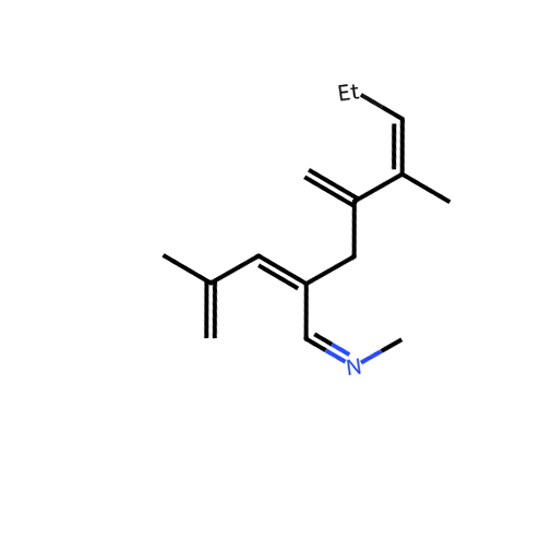 C=C(C)/C=C(\C=N/C)CC(=C)/C(C)=C\CC